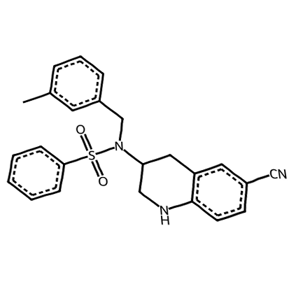 Cc1cccc(CN(C2CNc3ccc(C#N)cc3C2)S(=O)(=O)c2ccccc2)c1